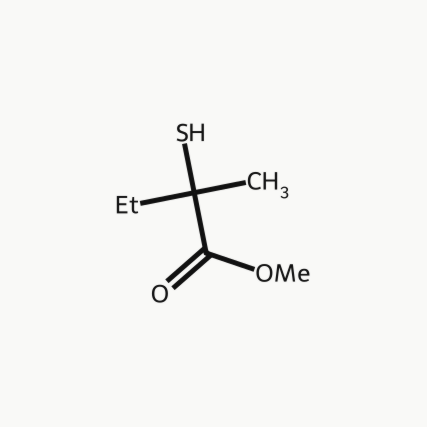 CCC(C)(S)C(=O)OC